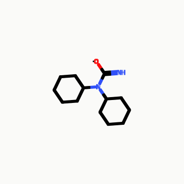 N=C([O])N(C1CCCCC1)C1CCCCC1